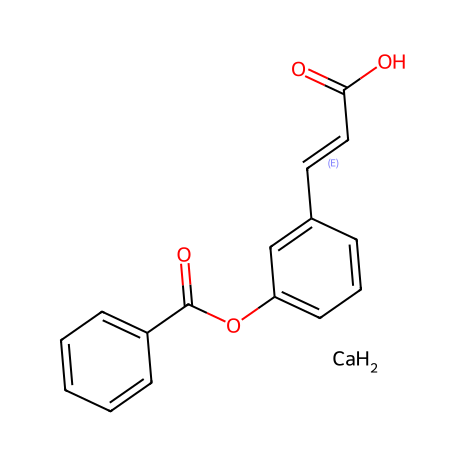 O=C(O)/C=C/c1cccc(OC(=O)c2ccccc2)c1.[CaH2]